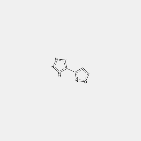 [c]1nn[nH]c1-c1ccon1